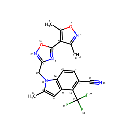 Cc1noc(C)c1-c1nc(Cn2c(C)cc3c(C(F)(F)F)c(C#N)ccc32)no1